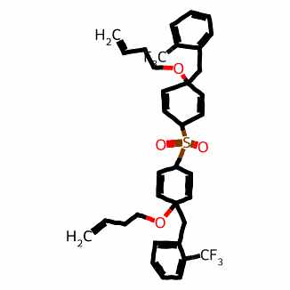 C=CCCOC1(Cc2ccccc2C(F)(F)F)C=CC(S(=O)(=O)C2C=CC(Cc3ccccc3C(F)(F)F)(OCCC=C)C=C2)C=C1